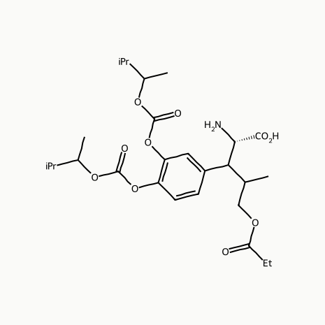 CCC(=O)OCC(C)C(c1ccc(OC(=O)OC(C)C(C)C)c(OC(=O)OC(C)C(C)C)c1)[C@H](N)C(=O)O